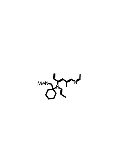 C=C/C(=C/C(C)=C/N=C\C)N(C=CC)C1(CNC)CCCCC1